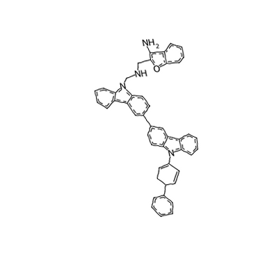 Nc1c(CNCn2c3ccccc3c3cc(-c4ccc5c(c4)c4ccccc4n5C4=CCC(c5ccccc5)C=C4)ccc32)oc2ccccc12